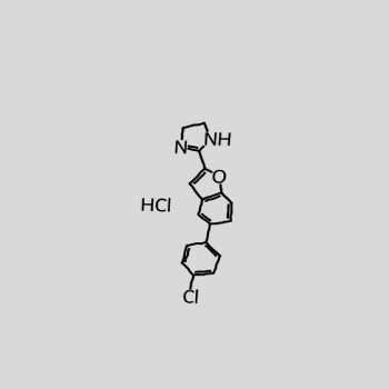 Cl.Clc1ccc(-c2ccc3oc(C4=NCCN4)cc3c2)cc1